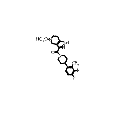 O=C(O)N1CCc2[nH]nc(C(=O)N3CCC(c4ccc(F)c(F)c4C(F)(F)F)CC3)c2C1